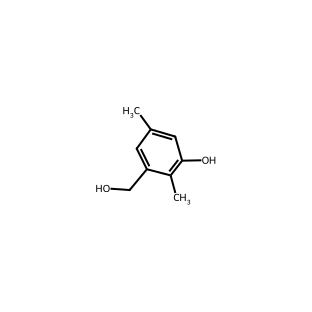 Cc1cc(O)c(C)c(CO)c1